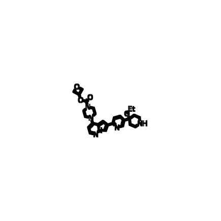 CCOC1(c2ccc(-c3cc4c(N5CCN(C(=O)OC6COC6)CC5)ccnn4c3)nc2)CCNCC1